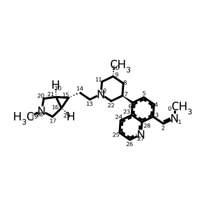 C/N=C\c1ccc([C@@H]2C[C@@H](C)CN(CC[C@@H]3[C@H]4CN(C)C[C@@H]34)C2)c2cccnc12